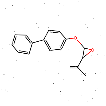 C=C(C)C1OC1Oc1ccc(-c2ccccc2)cc1